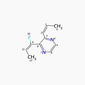 C/C=C\c1nccnc1/C(F)=C\C